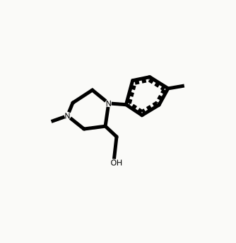 Cc1ccc(N2CCN(C)CC2CO)cc1